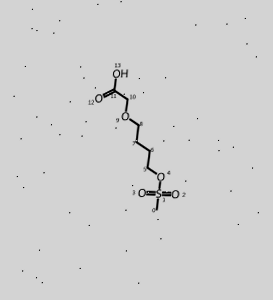 CS(=O)(=O)OCCCCOCC(=O)O